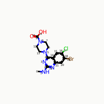 CNc1nc(N2CCN(C(=O)O)CC2)c2cc(Cl)c(Br)cc2n1